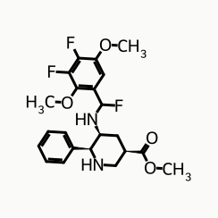 COC(=O)[C@H]1CN[C@@H](c2ccccc2)[C@@H](NC(F)c2cc(OC)c(F)c(F)c2OC)C1